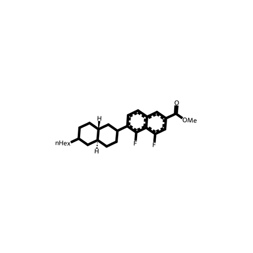 CCCCCCC1CC[C@@H]2CC(c3ccc4cc(C(=O)OC)cc(F)c4c3F)CC[C@H]2C1